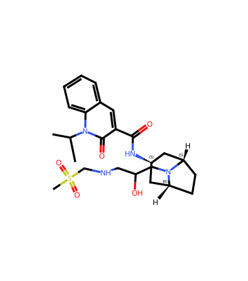 CC(C)n1c(=O)c(C(=O)N[C@@H]2C[C@H]3CC[C@@H](C2)N3CC(O)CNCS(C)(=O)=O)cc2ccccc21